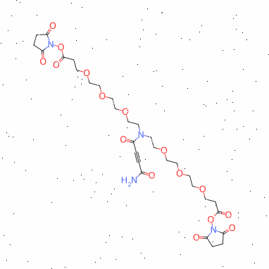 NC(=O)C#CC(=O)N(CCOCCOCCOCCC(=O)ON1C(=O)CCC1=O)CCOCCOCCOCCC(=O)ON1C(=O)CCC1=O